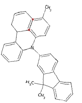 Cc1ccc(N(c2ccc3c(c2)C(C)(C)c2ccccc2-3)c2ccccc2C2C=CC=CC2)cc1